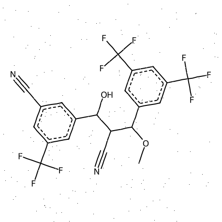 COC(c1cc(C(F)(F)F)cc(C(F)(F)F)c1)C(C#N)C(O)c1cc(C#N)cc(C(F)(F)F)c1